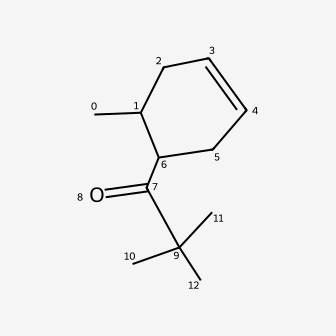 CC1CC=CCC1C(=O)C(C)(C)C